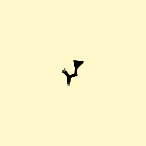 O=C(Cl)CC1C=C1